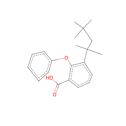 CC(C)(C)CC(C)(C)c1cccc(C(=O)O)c1Oc1ccccc1